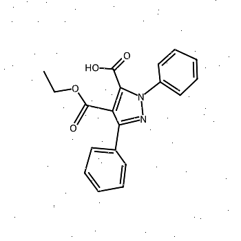 CCOC(=O)c1c(-c2ccccc2)nn(-c2ccccc2)c1C(=O)O